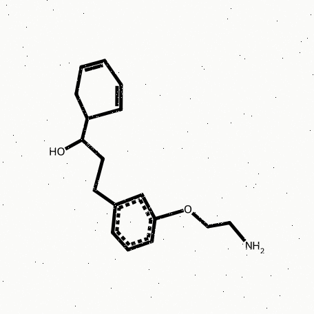 NCCOc1cccc(CCC(O)C2C=CC=CC2)c1